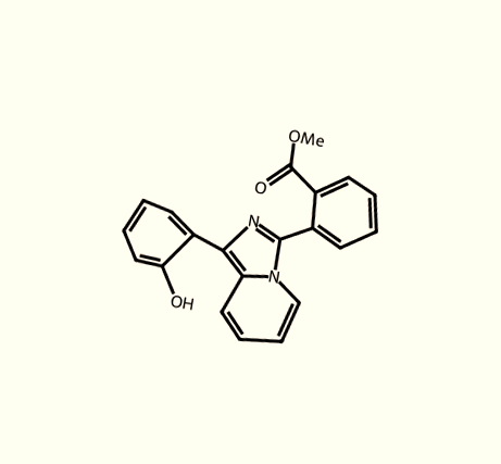 COC(=O)c1ccccc1-c1nc(-c2ccccc2O)c2ccccn12